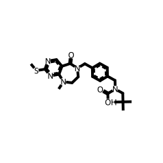 CSc1ncc2c(n1)N(C)CCN(Cc1ccc(CN(CC(C)(C)C)C(=O)O)cc1)C2=O